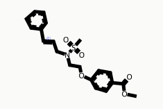 COC(=O)c1ccc(OCCN(C/C=C/c2ccccc2)S(C)(=O)=O)cc1